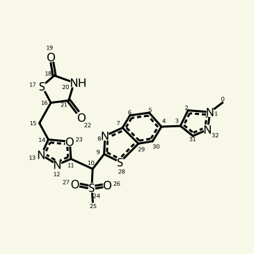 Cn1cc(-c2ccc3nc(C(c4nnc(CC5SC(=O)NC5=O)o4)S(C)(=O)=O)sc3c2)cn1